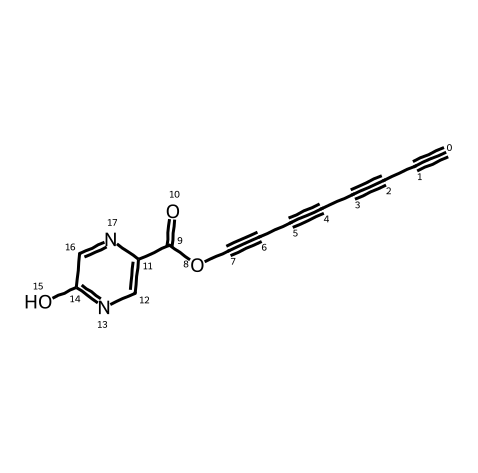 C#CC#CC#CC#COC(=O)c1cnc(O)cn1